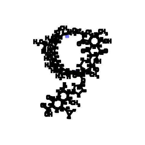 CO[C@H]1/C=C/O[C@@]2(C)Oc3c(C)c(O)c4c(c3C2=O)C(=O)C(N2CCN(C(=O)O[C@H]3CCN(c5c(F)cn6c(=O)c(C(=O)O)cc(C7CC7)c6c5C)C3)CC2)=C(NC(=O)/C(C)=C\C=C\[C@H](C)[C@H](O)[C@@H](C)[C@@H](O)[C@@H](C)[C@H](OC(C)=O)[C@@H]1C)C4=O